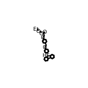 CCOCOC(=O)COc1ccc(COc2ccc([SH]3c4ccccc4-c4ccccc43)cc2)cc1